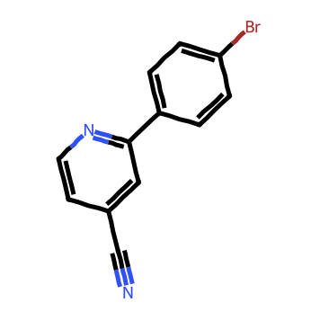 N#Cc1ccnc(-c2ccc(Br)cc2)c1